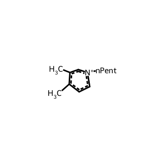 CCCCC[n+]1ccc(C)c(C)c1